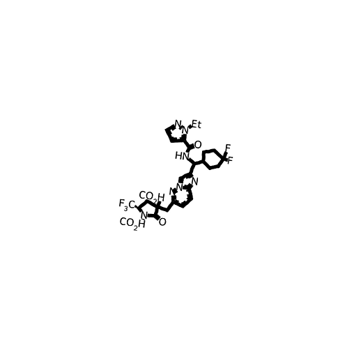 CCn1nccc1C(=O)NC(c1cn2nc(CC3(C(=O)O)C[C@H](C(F)(F)F)N(C(=O)O)C3=O)ccc2n1)C1CCC(F)(F)CC1